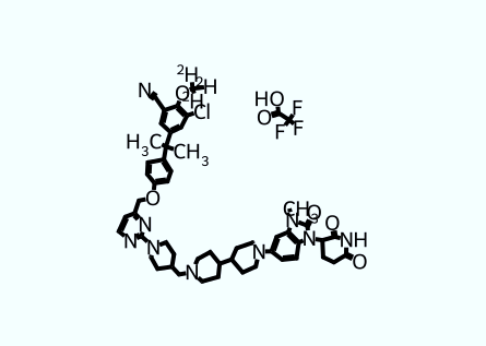 O=C(O)C(F)(F)F.[2H]C([2H])([2H])Oc1c(Cl)cc(C(C)(C)c2ccc(OCc3ccnc(N4CCC(CN5CCC(C6CCN(c7ccc8c(c7)n(C)c(=O)n8C7CCC(=O)NC7=O)CC6)CC5)CC4)n3)cc2)cc1C#N